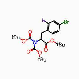 CC(C)(C)OC(=O)C(Cc1ccc(Br)cc1I)N(C(=O)OC(C)(C)C)C(=O)OC(C)(C)C